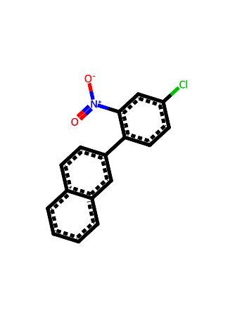 O=[N+]([O-])c1cc(Cl)ccc1-c1ccc2ccccc2c1